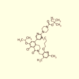 CCCCOc1nc(C)cc(C)c1CN1CCc2c(-c3ccc(N4CCN(C(=O)OC(C)(C)C)CC4)nc3)cc(OC(C)C)c(Cl)c2C1=O